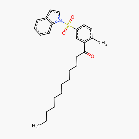 CCCCCCCCCCCC(=O)c1cc(S(=O)(=O)n2ccc3ccccc32)ccc1C